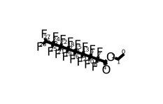 CCOC(=O)C(F)(F)C(F)(F)C(F)(F)C(F)(F)C(F)(F)C(F)(F)C(F)(F)C(F)F